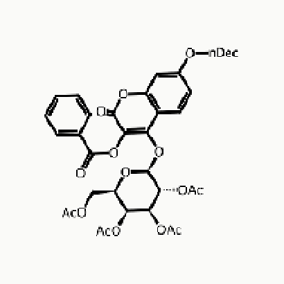 CCCCCCCCCCOc1ccc2c(O[C@@H]3O[C@H](COC(C)=O)[C@H](OC(C)=O)[C@H](OC(C)=O)[C@H]3OC(C)=O)c(OC(=O)c3ccccc3)c(=O)oc2c1